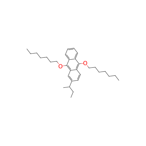 CCCCCCCOc1c2ccccc2c(OCCCCCCC)c2cc(C(C)CC)ccc12